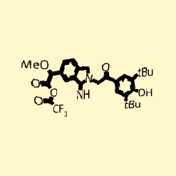 COC(C(=O)OC(=O)C(F)(F)F)c1ccc2c(c1)C(=N)N(CC(=O)c1cc(C(C)(C)C)c(O)c(C(C)(C)C)c1)C2